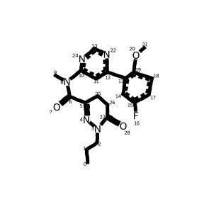 CCCN1N=C(C(=O)N(C)c2cc(-c3cc(F)ccc3OC)ncn2)CCC1=O